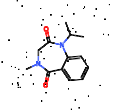 CC(C)N1C(=O)CN(C)C(=O)c2ccccc21